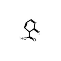 O=C(O)C1C=CC=[C]C1=S